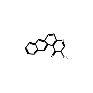 CC1C=Nc2ccc3cc4ccccc4cc3c2C1=O